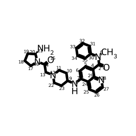 CN(C(=O)c1ccc(NC2CCN(CC(=O)N3CCC[C@H]3N)CC2)c2cccnc12)c1ccccc1